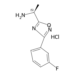 C[C@H](N)c1nc(-c2cccc(F)c2)no1.Cl